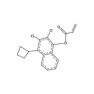 C=CC(=O)Oc1c(Cl)c(Cl)c(C2CCC2)c2ccccc12